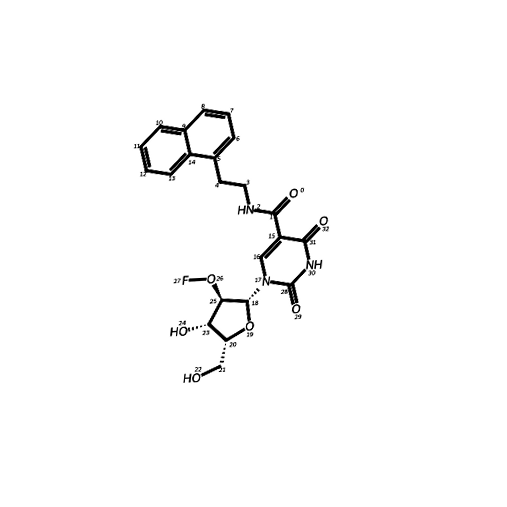 O=C(NCCc1cccc2ccccc12)c1cn([C@@H]2O[C@H](CO)[C@H](O)[C@H]2OF)c(=O)[nH]c1=O